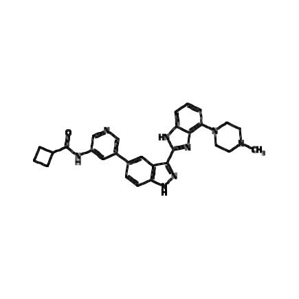 CN1CCN(c2cccc3[nH]c(-c4n[nH]c5ccc(-c6cncc(NC(=O)C7CCC7)c6)cc45)nc23)CC1